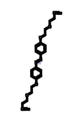 COCCOCCOc1ccc(/N=N/c2ccc(OCCOCCOC)cc2)cc1